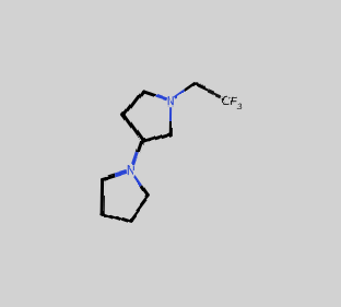 FC(F)(F)CN1CCC(N2CCCC2)C1